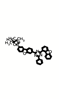 CC1(C)OB(c2ccc3oc4cc(-c5nc(-c6ccccc6)nc(-c6cccc7oc8ccccc8c67)n5)ccc4c3c2)OC1(C)C